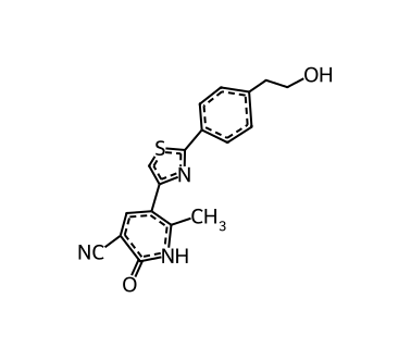 Cc1[nH]c(=O)c(C#N)cc1-c1csc(-c2ccc(CCO)cc2)n1